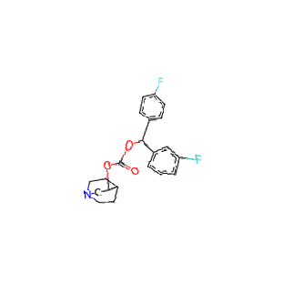 O=C(OC(c1ccc(F)cc1)c1cccc(F)c1)OC1CN2CCC1CC2